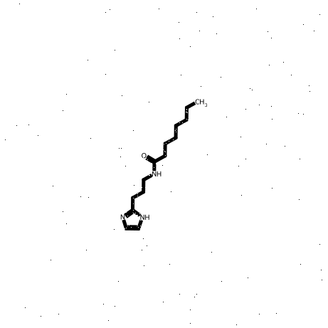 CCCCCCCC(=O)NCCCc1ncc[nH]1